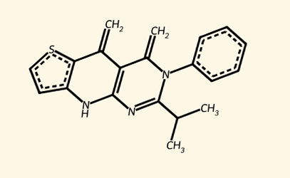 C=C1C2=C(N=C(C(C)C)N(c3ccccc3)C2=C)Nc2ccsc21